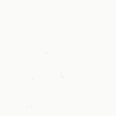 NS(=O)(=O)c1ncc(C(=O)N2CCC3(CC2)COc2ccccc23)c(Nc2cccc(Cl)c2)c1Cl